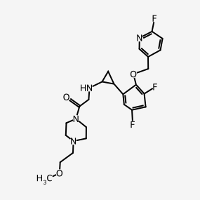 COCCN1CCN(C(=O)CNC2CC2c2cc(F)cc(F)c2OCc2ccc(F)nc2)CC1